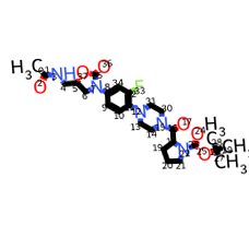 CC(=O)NCC1CN(c2ccc(N3CCN(C(=O)C4CCCN4C(=O)OC(C)(C)C)CC3)c(F)c2)C(=O)O1